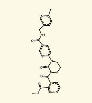 COC(=O)c1ccccc1C(=O)N1CCCN(c2ccc(C(=O)NCc3ccc(C)cc3)cn2)C1=O